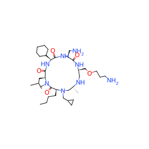 CCCC[C@H]1C(=O)N(C)[C@@H](CC(C)C)C(=O)N[C@@H](C2CCCCC2)C(=O)N[C@@H](CN)C(=O)N[C@@H](COCCCN)CN[C@H](C)CN1CC1CC1